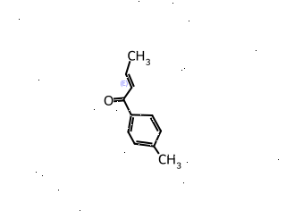 C/C=C/C(=O)c1ccc(C)cc1